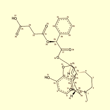 CN1CCC[C@]23c4c5ccc(O)c4O[C@H]2C(OC(=O)[C@@H](OC(=O)CCC(=O)O)c2ccccc2)=CC[C@@]3(O)[C@H]1C5